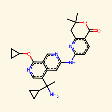 CC1(C)Cc2nc(Nc3cc4c(C(C)(N)C5CC5)cnc(OC5CC5)c4cn3)ccc2C(=O)O1